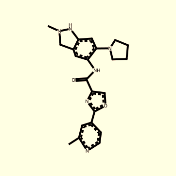 Cc1cc(-c2nc(C(=O)Nc3cc4c(cc3N3CCCC3)NN(C)C4)co2)ccn1